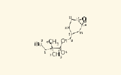 CCC(C)CC(C)(C)C(=O)OCC1CCC2OC2C1